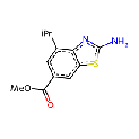 COC(=O)c1cc(C(C)C)c2nc(N)sc2c1